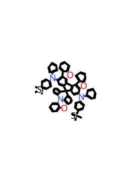 C[Si](C)(C)c1ccc(N(c2ccccc2)c2cc3c(c4c2oc2ccccc24)-c2c(cc(N(c4ccccc4)c4ccc([Si](C)(C)C)cc4)c4c2oc2ccccc24)C32c3ccccc3N3c4ccccc4Oc4cccc2c43)cc1